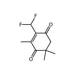 CC1=C(C(F)F)C(=O)CC(C)(C)C1=O